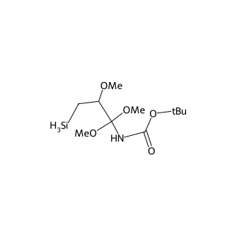 COC(C[SiH3])C(NC(=O)OC(C)(C)C)(OC)OC